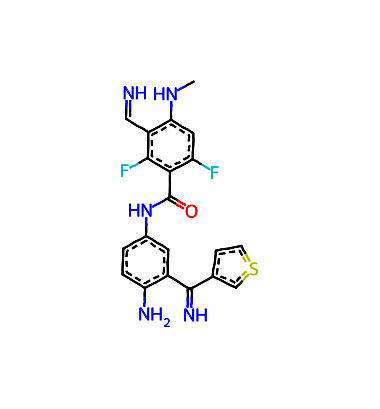 CNc1cc(F)c(C(=O)Nc2ccc(N)c(C(=N)c3ccsc3)c2)c(F)c1C=N